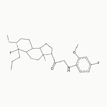 CCCC1(F)C(CC)CCC2C3CCC(C(=O)CNc4ccc(F)cc4OC)C3(C)CCC21